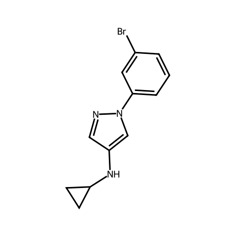 Brc1cccc(-n2cc(NC3CC3)cn2)c1